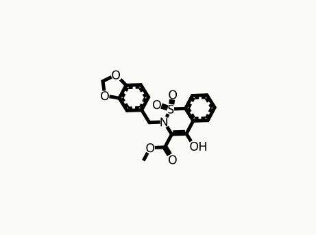 COC(=O)C1=C(O)c2ccccc2S(=O)(=O)N1Cc1ccc2c(c1)OCO2